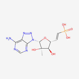 C[C@@]1(O)[C@H](O)[C@@H](C=CP(=O)(O)O)O[C@H]1n1nnc2c(N)ncnc21